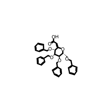 O=C(O)/C=C1/O[C@H](COCc2ccccc2)[C@@H](OCc2ccccc2)[C@H](OCc2ccccc2)[C@@H]1OCc1ccccc1